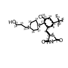 O=C1NC(=O)/C(=C/c2cc(C(F)(F)F)cc(Cl)c2N2CCN(CCCO)CC2)S1